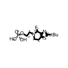 CC(C)(C)c1nc2c(s1)CCN(CCOP(=O)(O)O)C2F